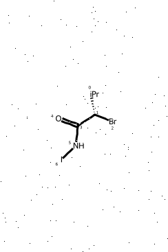 CC(C)[C@H](Br)C(=O)NI